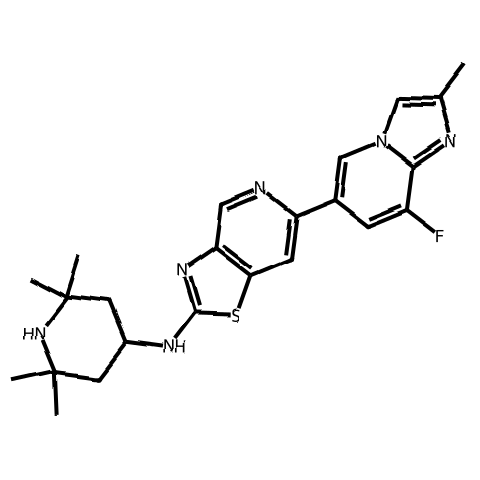 Cc1cn2cc(-c3cc4sc(NC5CC(C)(C)NC(C)(C)C5)nc4cn3)cc(F)c2n1